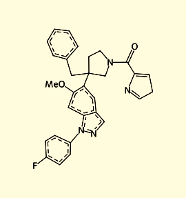 COc1cc2c(cnn2-c2ccc(F)cc2)cc1C1(Cc2ccccc2)CCN(C(=O)C2=CCC=N2)C1